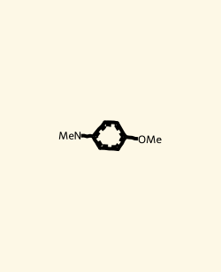 [CH2]Oc1ccc(NC)cc1